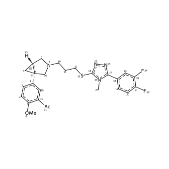 COc1ccc([C@]23C[C@@H]2CN(CCCSc2nnc(-c4ccc(F)c(F)c4)n2C)C3)cc1C(C)=O